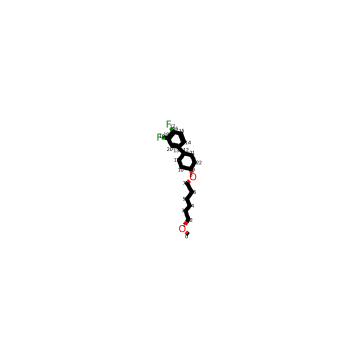 COCCCCCCOC1CCC(c2ccc(F)c(F)c2)CC1